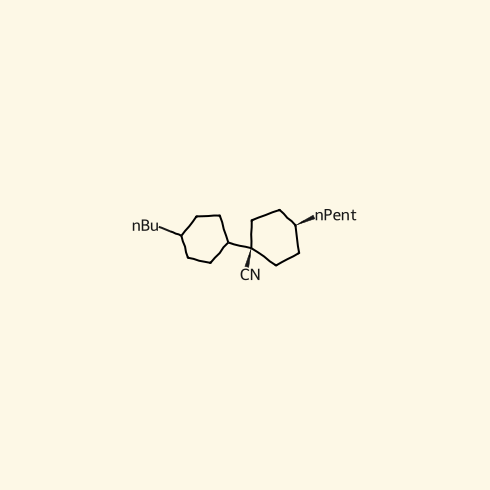 CCCCC[C@H]1CC[C@](C#N)(C2CCC(CCCC)CC2)CC1